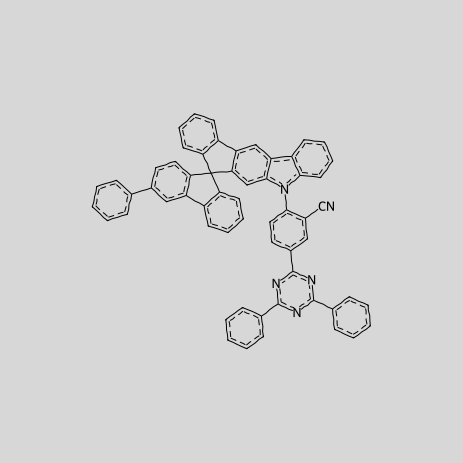 N#Cc1cc(-c2nc(-c3ccccc3)nc(-c3ccccc3)n2)ccc1-n1c2ccccc2c2cc3c(cc21)C1(c2ccccc2-c2cc(-c4ccccc4)ccc21)c1ccccc1-3